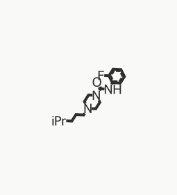 CC(C)CCCN1CCN(C(=O)Nc2ccccc2F)CC1